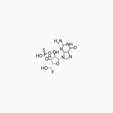 Nc1nc2c(ncn2[C@@H]2O[C@H](C(O)F)[C@@H](OP(O)(O)=S)[C@H]2O)c(=O)[nH]1